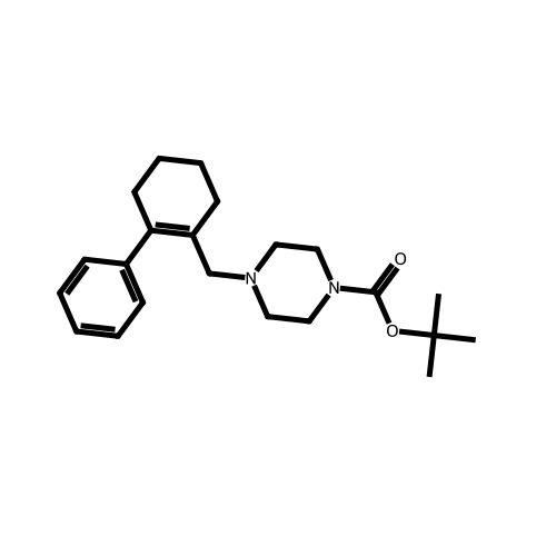 CC(C)(C)OC(=O)N1CCN(CC2=C(c3ccccc3)CCCC2)CC1